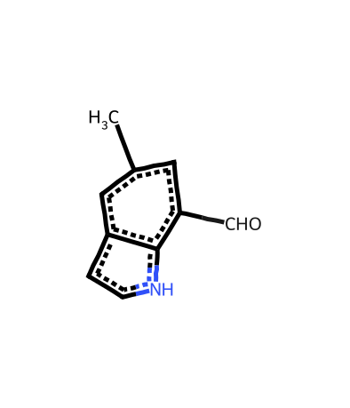 Cc1cc(C=O)c2[nH]ccc2c1